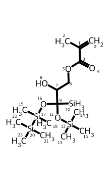 C=C(C)C(=O)OCC(O)C([SiH3])(O[Si](C)(C)C)O[Si](C)(C)[Si](C)(C)C